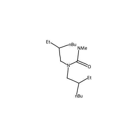 CCCCC(CC)CN(CC(CC)CCCC)C(=O)NC